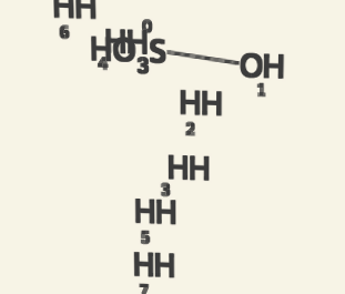 O=S(=O)(O)O.[HH].[HH].[HH].[HH].[HH].[HH]